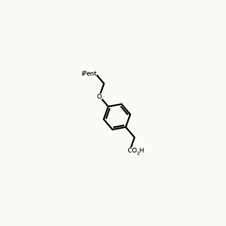 CCCC(C)COc1ccc(CC(=O)O)cc1